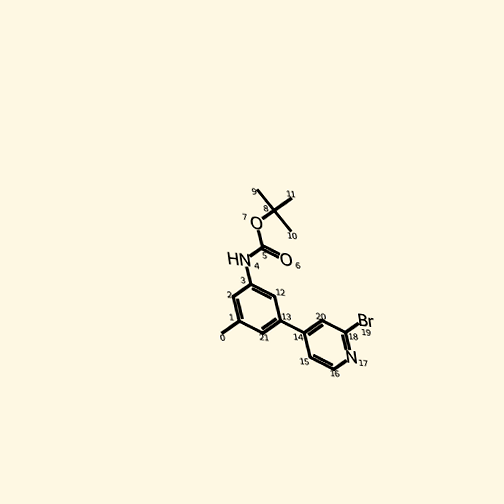 Cc1cc(NC(=O)OC(C)(C)C)cc(-c2ccnc(Br)c2)c1